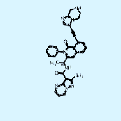 C[C@H](NC(=O)c1c(N)nn2cccnc12)c1cc2cccc(C#Cc3cnc4n3CCNC4)c2c(=O)n1-c1ccccc1